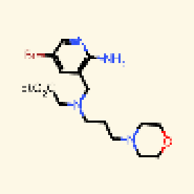 CCOC(=O)CN(CCCN1CCOCC1)Cc1cc(Br)cnc1N